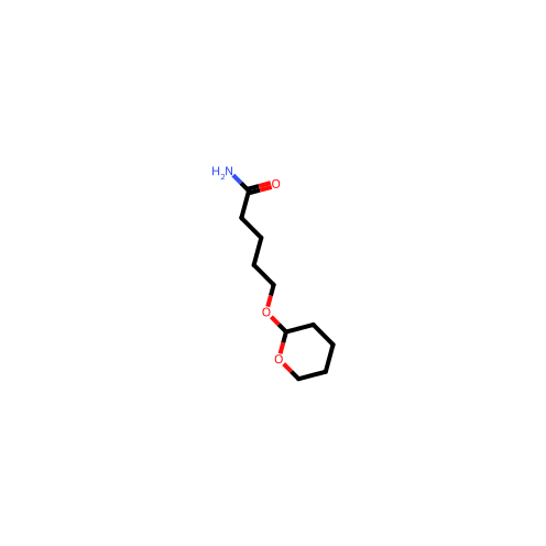 NC(=O)CCCCOC1CCCCO1